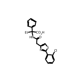 CCC(NC(=O)Cc1csc(-c2ccccc2Cl)n1)(C(=O)O)c1ccccc1